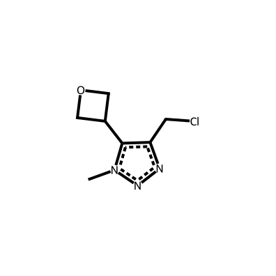 Cn1nnc(CCl)c1C1COC1